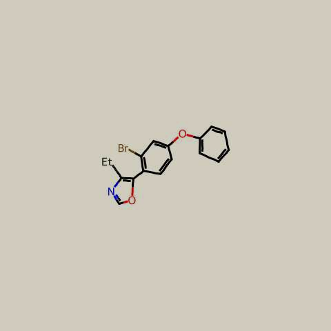 CCc1ncoc1-c1ccc(Oc2ccccc2)cc1Br